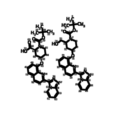 CC(C)(C)OC(=O)N1CCC(Oc2cccc3ccc(-c4nnc5ccccn45)nc23)CC1CO.CC(C)(C)OC(=O)N1CC[C@H](Oc2cccc3ccc(-c4nnc5ccccn45)nc23)C[C@H]1C(=O)O